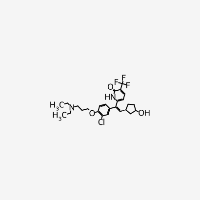 CCN(CC)CCCOc1ccc(C(=C[C@H]2CCC(O)C2)c2ccc(C(F)(F)F)c(=O)[nH]2)cc1Cl